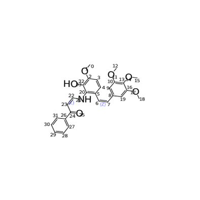 COc1ccc(/C=C\c2cc(OC)c(OC)c(OC)c2)c(N/C=C\C(=O)c2ccccc2)c1O